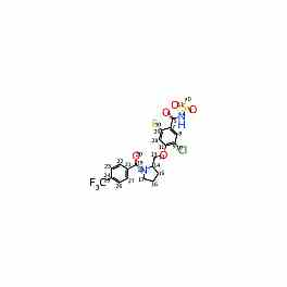 CS(=O)(=O)NC(=O)c1cc(Cl)c(OC[C@H]2CCCN2C(=O)c2ccc(C(F)(F)F)cc2)cc1F